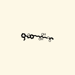 C=CC(=O)OCCCC(O)C(O)CCCc1ccc2cc(-c3ccccc3CC)oc2c1